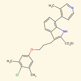 CCOC(=O)c1[nH]c2c(-c3ccncc3C)cccc2c1CCCOc1cc(C)c(Cl)c(C)c1